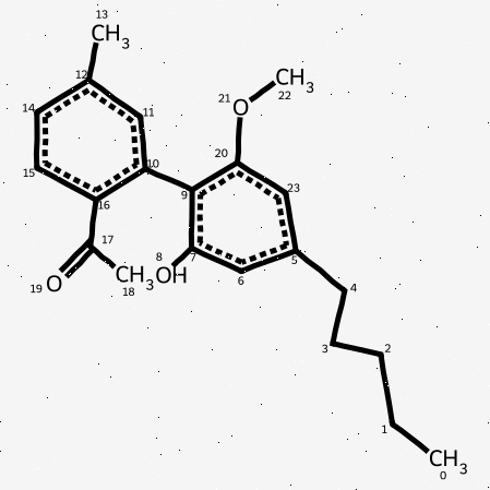 CCCCCc1cc(O)c(-c2cc(C)ccc2C(C)=O)c(OC)c1